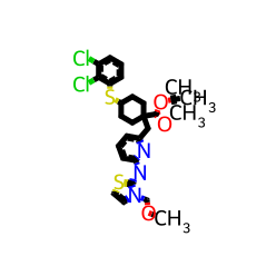 COCn1ccs/c1=N\c1cccc(CC2(C(=O)OC(C)(C)C)CCC(Sc3cccc(Cl)c3Cl)CC2)n1